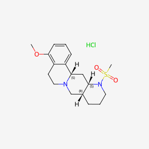 COc1cccc2c1CCN1C[C@H]3CCCN(S(C)(=O)=O)[C@H]3C[C@@H]21.Cl